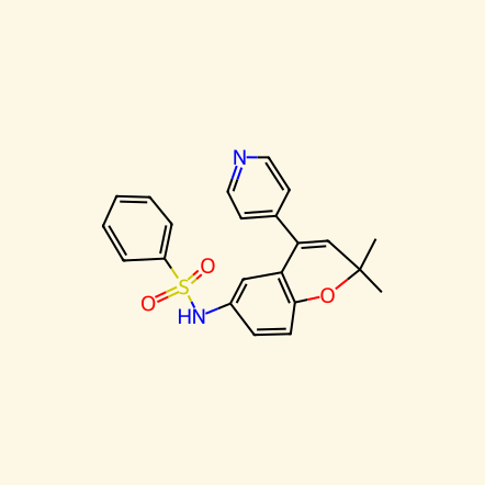 CC1(C)C=C(c2ccncc2)c2cc(NS(=O)(=O)c3ccccc3)ccc2O1